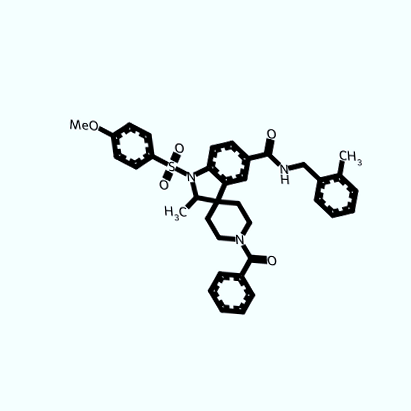 COc1ccc(S(=O)(=O)N2c3ccc(C(=O)NCc4ccccc4C)cc3C3(CCN(C(=O)c4ccccc4)CC3)C2C)cc1